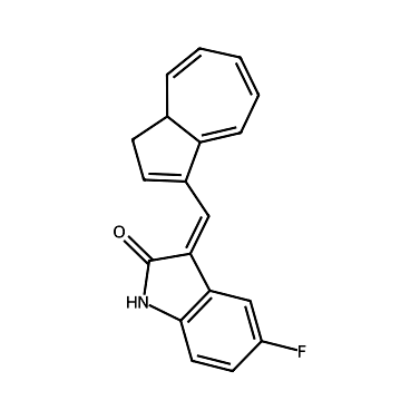 O=C1Nc2ccc(F)cc2/C1=C/C1=CCC2C=CC=CC=C12